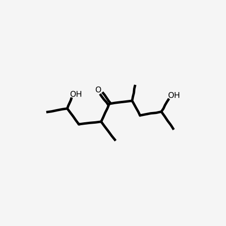 CC(O)CC(C)C(=O)C(C)CC(C)O